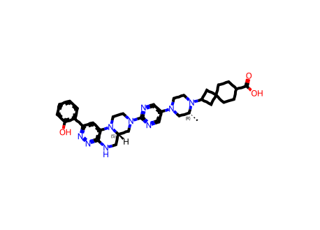 C[C@@H]1CN(c2cnc(N3CCN4c5cc(-c6ccccc6O)nnc5NC[C@H]4C3)nc2)CCN1C1CC2(CCC(C(=O)O)CC2)C1